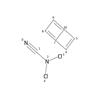 N#CN(Cl)Cl.c1cc2ccc1-2